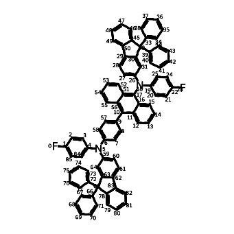 Fc1ccc(N(c2ccc(-c3c4ccccc4c(N(c4ccc(F)cc4)c4ccc5c(c4)C(c4ccccc4)(c4ccccc4)c4ccccc4-5)c4ccccc34)cc2)c2ccc3c(c2)C(c2ccccc2)(c2ccccc2)c2ccccc2-3)cc1